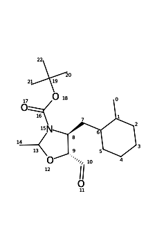 CC1CCCCC1C[C@H]1[C@H](C=O)OC(C)N1C(=O)OC(C)(C)C